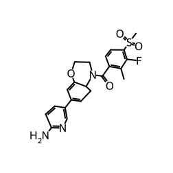 Cc1c(C(=O)N2CCOC3=CC(c4ccc(N)nc4)=CCC32)ccc(S(C)(=O)=O)c1F